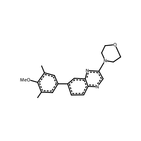 COc1c(C)cc(-c2ccc3ncc(N4CCOCC4)nc3c2)cc1C